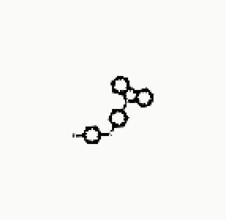 Fc1ccc(Sc2ccc(-n3c4ccccc4c4ccccc43)cc2)cc1